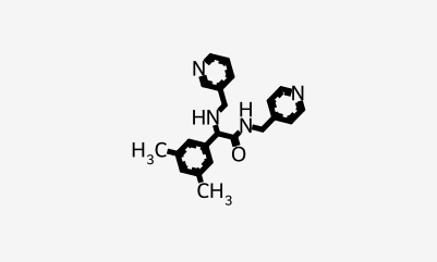 Cc1cc(C)cc(C(NCc2cccnc2)C(=O)NCc2ccncc2)c1